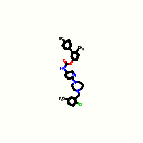 Cc1ccc(OC(=O)Nc2ccc(N3CCCN(Cc4cc(C(F)(F)F)ccc4Cl)CC3)nc2)cc1-c1ccc(C#N)cc1